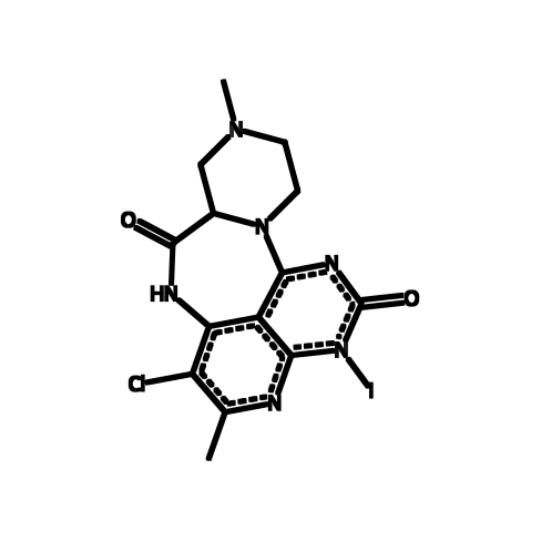 Cc1nc2c3c(nc(=O)n2I)N2CCN(C)CC2C(=O)Nc3c1Cl